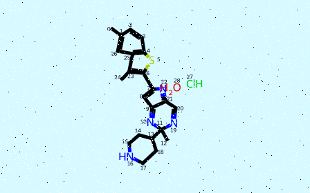 Cc1ccc2sc(C3=CC4=NC(C)(C5CCNCC5)N=CC4=N3)c(C)c2c1.Cl.O